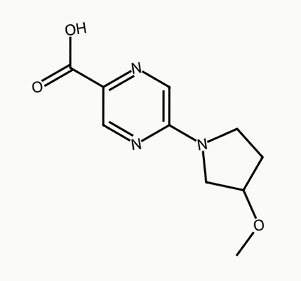 COC1CCN(c2cnc(C(=O)O)cn2)C1